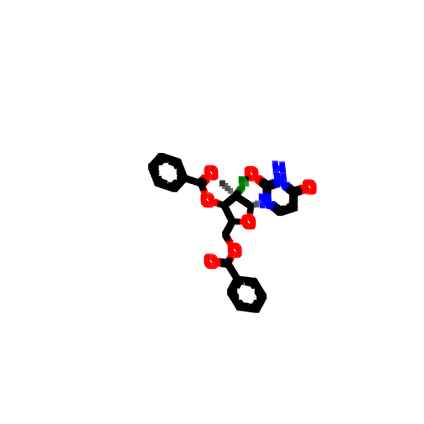 C[C@@]1(F)[C@H](OC(=O)c2ccccc2)C(COC(=O)c2ccccc2)O[C@H]1n1ccc(=O)[nH]c1=O